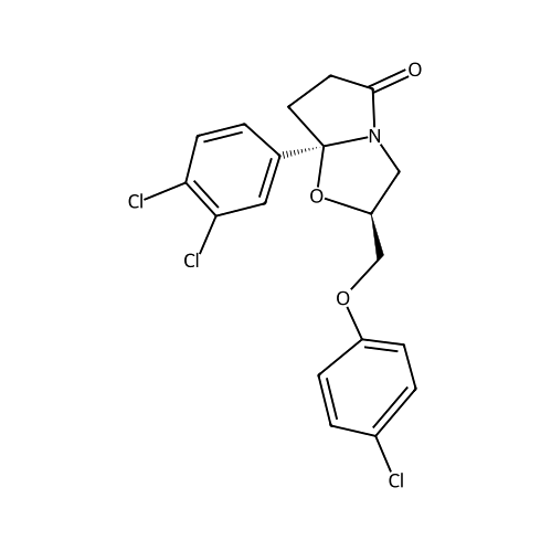 O=C1CC[C@]2(c3ccc(Cl)c(Cl)c3)O[C@H](COc3ccc(Cl)cc3)CN12